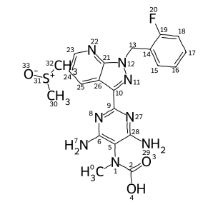 CN(C(=O)O)c1c(N)nc(-c2nn(Cc3ccccc3F)c3ncccc23)nc1N.C[S+](C)[O-]